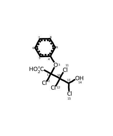 O=C(O)C(Cl)(Oc1ccccc1)C(Cl)(Cl)C(O)Cl